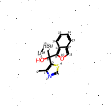 Cc1ncsc1C(C)(O)c1occ2ccccc12.[Li][CH2]CCC